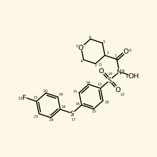 O=C(C1CCOCC1)N(O)S(=O)(=O)c1ccc(Sc2ccc(F)cc2)cc1